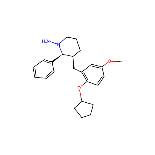 COc1ccc(OC2CCCC2)c(C[C@@H]2CCCN(N)[C@@H]2c2ccccc2)c1